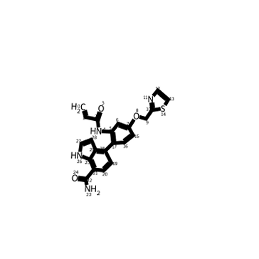 C=CC(=O)Nc1cc(OCc2nccs2)ccc1-c1ccc(C(N)=O)c2[nH]ccc12